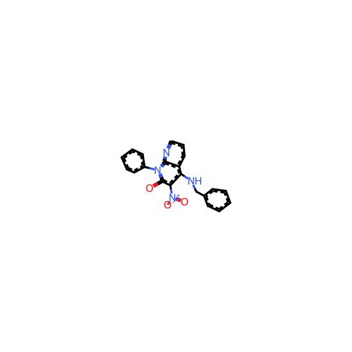 O=c1c([N+](=O)[O-])c(NCc2ccccc2)c2cccnc2n1-c1ccccc1